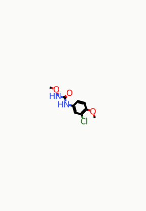 CONC(=O)Nc1ccc(OC)c(Cl)c1